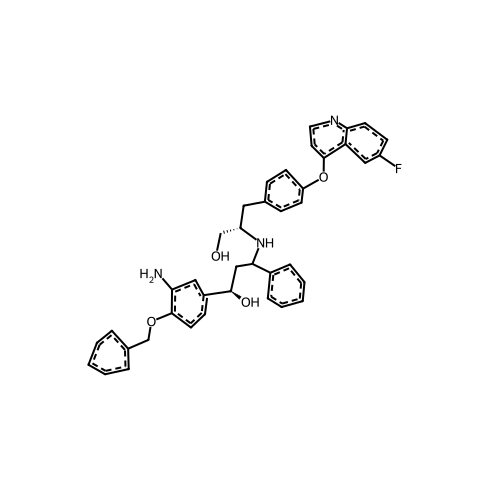 Nc1cc([C@H](O)CC(N[C@H](CO)Cc2ccc(Oc3ccnc4ccc(F)cc34)cc2)c2ccccc2)ccc1OCc1ccccc1